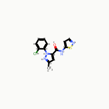 O=C(Nc1ccns1)c1cc(C(F)(F)F)nn1-c1ccccc1Cl